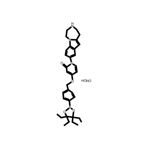 CCC1(CC)OB(c2ccc(COc3ccn(-c4ccc5c(c4)cc4n5CCNCC4)c(=O)c3)cc2)OC1(CC)CC.Cl.Cl